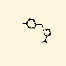 Cc1ccc(Cn2ccc(C(N)=O)n2)cc1